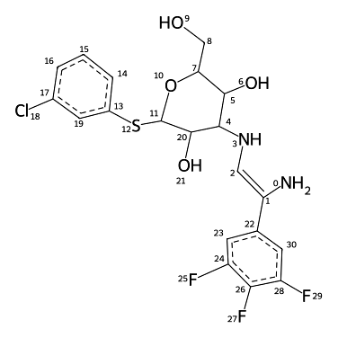 N/C(=C\NC1C(O)C(CO)OC(Sc2cccc(Cl)c2)C1O)c1cc(F)c(F)c(F)c1